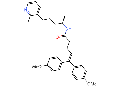 COc1ccc(C(=CCCC(=O)N[C@H](C)CCCc2cccnc2C)c2ccc(OC)cc2)cc1